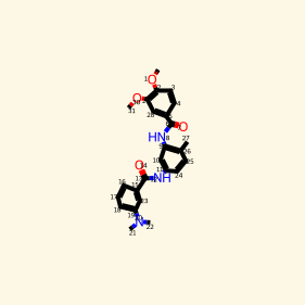 COc1ccc(C(=O)Nc2cc(NC(=O)c3cccc(N(C)C)c3)ccc2C)cc1OC